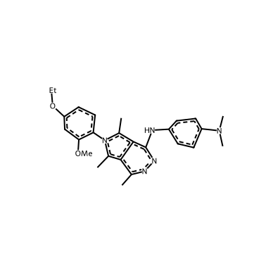 CCOc1ccc(-n2c(C)c3c(C)nnc(Nc4ccc(N(C)C)cc4)c3c2C)c(OC)c1